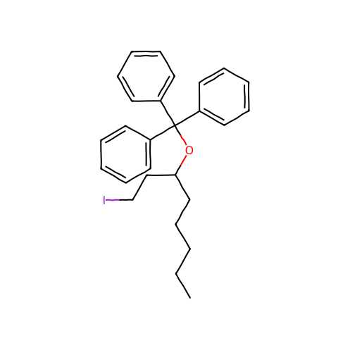 CCCCCC(CCI)OC(c1ccccc1)(c1ccccc1)c1ccccc1